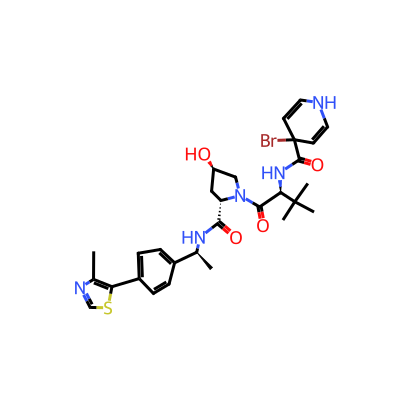 Cc1ncsc1-c1ccc([C@H](C)NC(=O)[C@@H]2C[C@@H](O)CN2C(=O)[C@@H](NC(=O)C2(Br)C=CNC=C2)C(C)(C)C)cc1